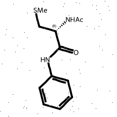 CSC[C@H](NC(C)=O)C(=O)Nc1ccccc1